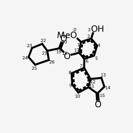 COc1c(O)ccc(-c2cccc3c2CCC3=O)c1OC(=O)C1CCCCC1